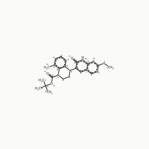 CSc1ncc2cc(N3CCN(C(=O)OC(C)(C)C)c4c(C)cccc43)c(=O)[nH]c2n1